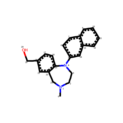 CN1CCN(c2ccc3ccccc3c2)c2ccc(CO)cc2C1